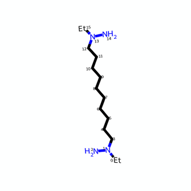 CCN(N)CCCCCCCCCCN(N)CC